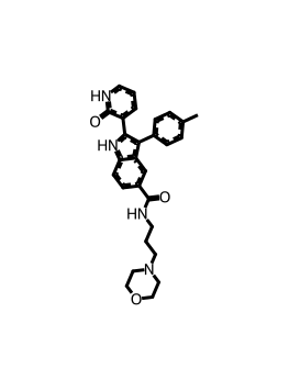 Cc1ccc(-c2c(-c3ccc[nH]c3=O)[nH]c3ccc(C(=O)NCCCN4CCOCC4)cc23)cc1